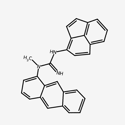 CN(C(=N)Nc1ccc2cccc3c2c1C=C3)c1cccc2cc3ccccc3cc12